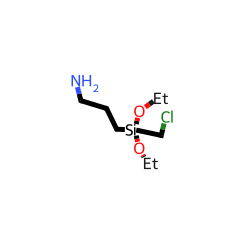 CCO[Si](CCl)(CCCN)OCC